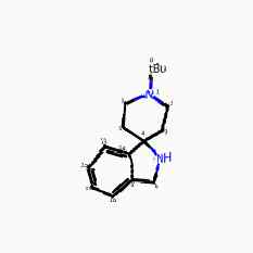 CC(C)(C)N1CCC2(CC1)NCc1ccccc12